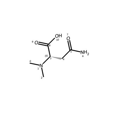 CN(C)[C@@H](CC(N)=O)C(=O)O